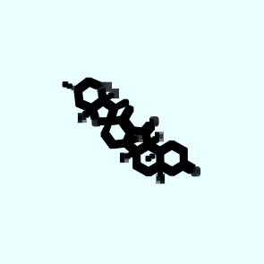 CC1=C2C(=O)[C@H]3[C@@H](CC[C@@H]4CC(=O)CC[C@@]43C)[C@@H]2CC[C@]12O[C@@H]1C[C@H](C)CN[C@H]1[C@H]2C